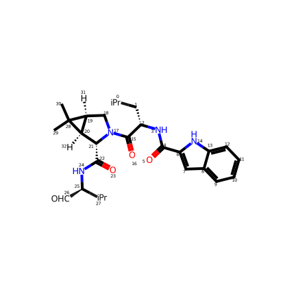 CC(C)C[C@H](NC(=O)c1cc2ccccc2[nH]1)C(=O)N1C[C@H]2[C@@H]([C@H]1C(=O)N[C@H](C=O)C(C)C)C2(C)C